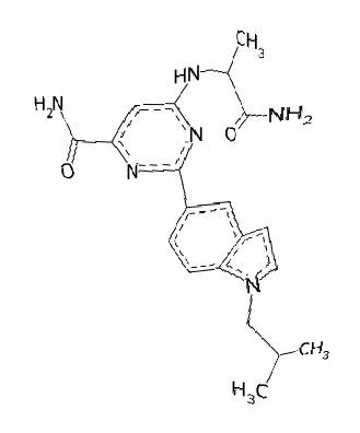 CC(C)Cn1ccc2cc(-c3nc(NC(C)C(N)=O)cc(C(N)=O)n3)ccc21